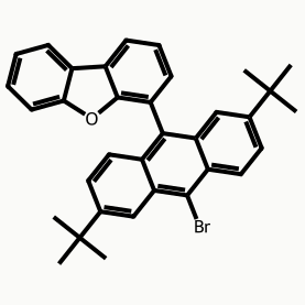 CC(C)(C)c1ccc2c(-c3cccc4c3oc3ccccc34)c3cc(C(C)(C)C)ccc3c(Br)c2c1